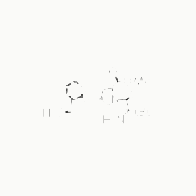 C=Cc1cccnc1O[C@@H]1C[C@@H](C(=O)OC)N(C(=O)[C@@H](N)C(C)(C)C)C1